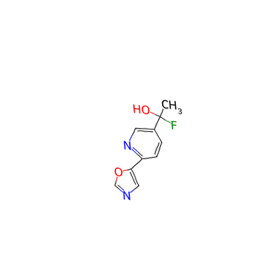 CC(O)(F)c1ccc(-c2cnco2)nc1